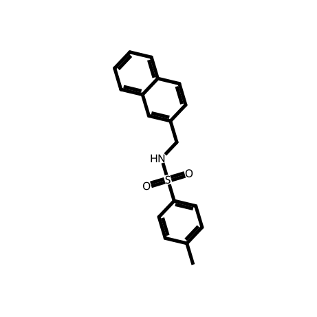 Cc1ccc(S(=O)(=O)NCc2ccc3ccccc3c2)cc1